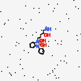 CNC[C@@H](O)CCCN1c2ccccc2N(c2ccccc2F)S1(O)O